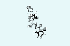 C=CCOC(=O)NC(CC(=O)O)C(O)COC(=O)c1c(Cl)cccc1Cl